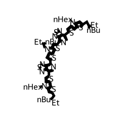 CCCCCCn1c2cc(CC(CC)CCCC)sc2c2sc(-c3cnc(-c4cc5c(s4)c4sc(-c6ncc(-c7cc8c(s7)c7sc(CC(CC)CCCC)cc7n8CCCCCC)c7nsnc67)cc4n5CC(CC)CCCC)c4nsnc34)cc21